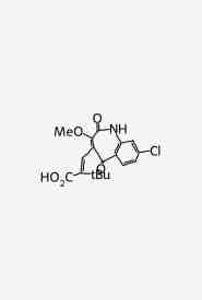 COc1c(C=C(C(=O)O)C(C)(C)C)c(=O)c2ccc(Cl)cc2[nH]c1=O